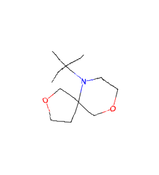 CC(C)(C)N1CCOCC12CCOC2